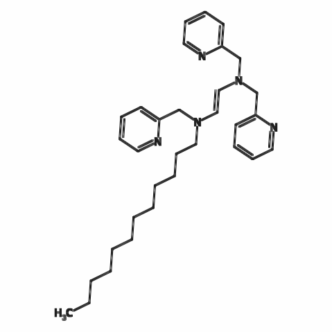 CCCCCCCCCCCCN(/C=C/N(Cc1ccccn1)Cc1ccccn1)Cc1ccccn1